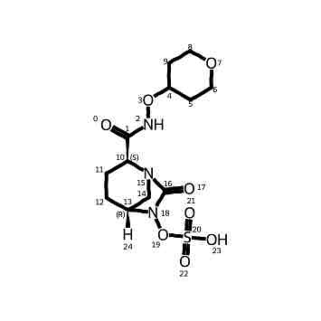 O=C(NOC1CCOCC1)[C@@H]1CC[C@@H]2CN1C(=O)N2OS(=O)(=O)O